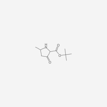 CC1CC(=O)C(C(=O)OC(C)(C)C)N1